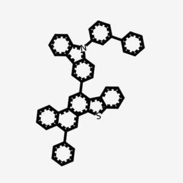 c1ccc(-c2cccc(-n3c4ccccc4c4cc(-c5cc6c7ccccc7c(-c7ccccc7)cc6c6sc7ccccc7c56)ccc43)c2)cc1